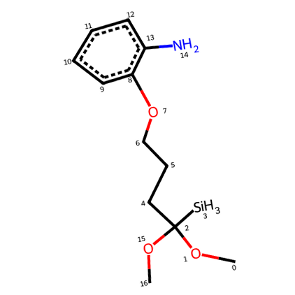 COC([SiH3])(CCCOc1ccccc1N)OC